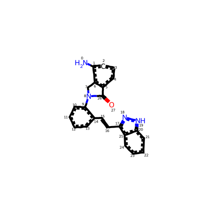 Nc1cccc2c1CN(c1ccccc1/C=C/c1n[nH]c3ccccc13)C2=O